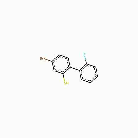 Fc1ccccc1-c1ccc(Br)cc1S